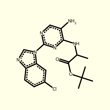 CC(Nc1nc(-n2cnc3ccc(Cl)cc32)ncc1N)C(=O)OC(C)(C)C